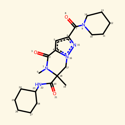 CN1C(=O)c2cc(C(=O)N3CCCCC3)nn2CC1(C)C(=O)NC1CCCCC1